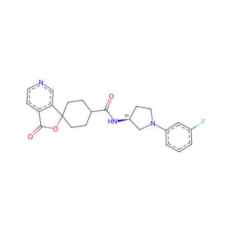 O=C1OC2(CCC(C(=O)N[C@H]3CCN(c4cccc(F)c4)C3)CC2)c2cnccc21